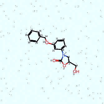 O=C1OC(CO)CN1c1cccc(OCc2ccccc2)c1